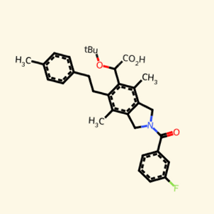 Cc1ccc(CCc2c(C)c3c(c(C)c2C(OC(C)(C)C)C(=O)O)CN(C(=O)c2cccc(F)c2)C3)cc1